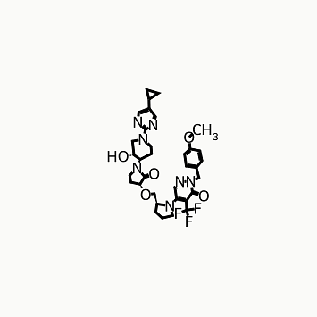 COc1ccc(Cn2ncc(N3CCC[C@H]3CO[C@@H]3CCN([C@@H]4CCN(c5ncc(C6CC6)cn5)C[C@H]4O)C3=O)c(C(F)(F)F)c2=O)cc1